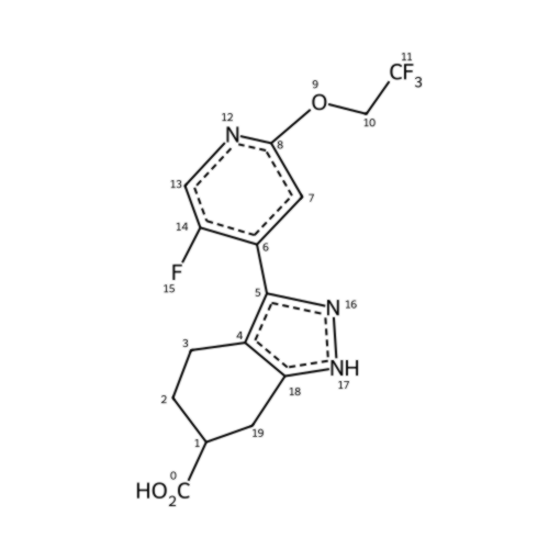 O=C(O)C1CCc2c(-c3cc(OCC(F)(F)F)ncc3F)n[nH]c2C1